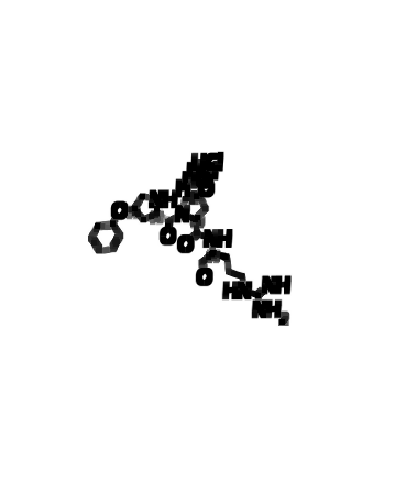 Cl.Cl.Cl.N=C(N)NCCC[C@@H](C=O)NC(=O)[C@@H]1CCCN1C(=O)[C@@H]1C[C@H](Oc2ccccc2)CN1.O